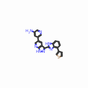 Nc1cncc(-c2cnc3[nH]nc(-c4nc5c(-c6ccsc6)cccc5[nH]4)c3c2)c1